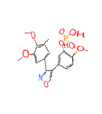 COc1ccc(-c2conc2-c2cc(C)c(OC)c(OC)c2)cc1OP(=O)(O)O